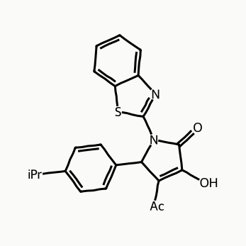 CC(=O)C1=C(O)C(=O)N(c2nc3ccccc3s2)C1c1ccc(C(C)C)cc1